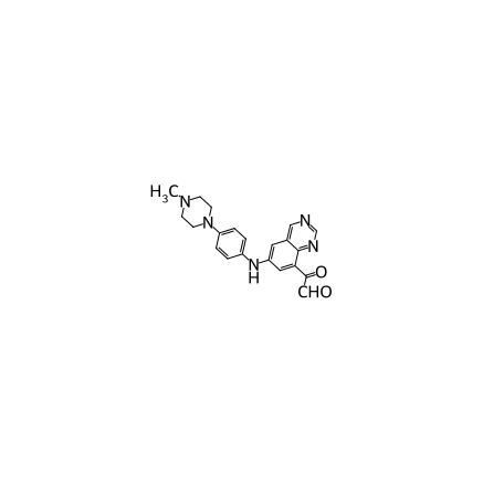 CN1CCN(c2ccc(Nc3cc(C(=O)C=O)c4ncncc4c3)cc2)CC1